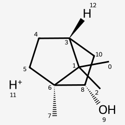 CC1(C)[C@@H]2CC[C@]1(C)[C@@H](O)C2.[H+]